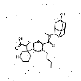 CCCSc1nc([C@]2(C(C)C(=O)O)CCCNC2)ccc1C(=O)N(C)C1C2CC3CC1CC(O)(C3)C2